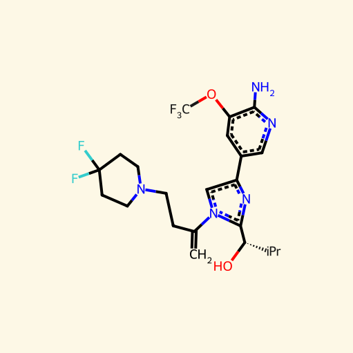 C=C(CCN1CCC(F)(F)CC1)n1cc(-c2cnc(N)c(OC(F)(F)F)c2)nc1[C@@H](O)C(C)C